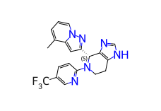 Cc1cccn2nc([C@@H]3c4nc[nH]c4CCN3c3ccc(C(F)(F)F)cn3)cc12